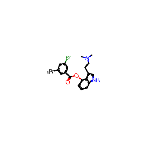 CC(C)c1cc(Br)cc(C(=O)Oc2cccc3[nH]cc(CCN(C)C)c23)c1